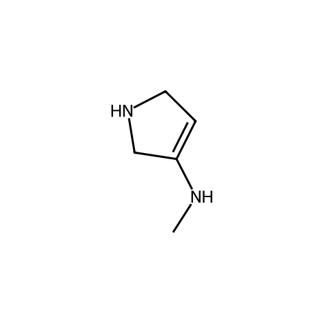 CNC1=CCNC1